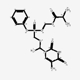 Cc1cn(C(C)OCP(=O)(OCOC(=O)C(C)C)Oc2ccccc2)c(=O)[nH]c1=O